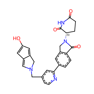 O=C1CC[C@H](N2Cc3cc(-c4cc(CN5C=C6C=C(O)C=C6C5)ccn4)ccc3C2=O)C(=O)N1